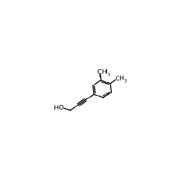 Cc1ccc(C#CCO)cc1C